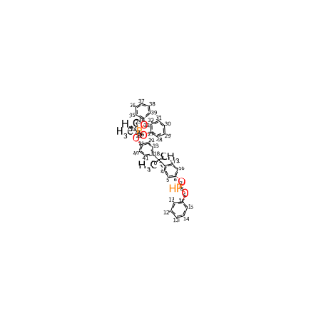 CC(C)(c1ccc(OPOc2ccccc2)cc1)c1ccc(OP(C)(C)(Oc2ccccc2)Oc2ccccc2)cc1